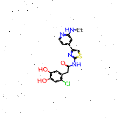 CCNc1cc(-c2csc(NC(=O)Cc3cc(O)c(O)cc3Cl)n2)ccn1